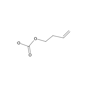 C=CCCOC([O])=O